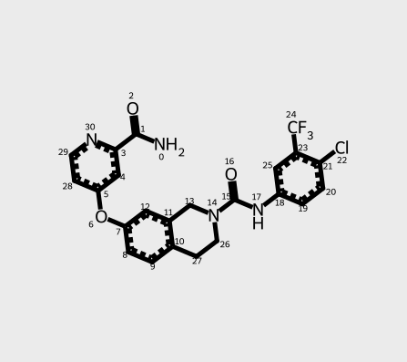 NC(=O)c1cc(Oc2ccc3c(c2)CN(C(=O)Nc2ccc(Cl)c(C(F)(F)F)c2)CC3)ccn1